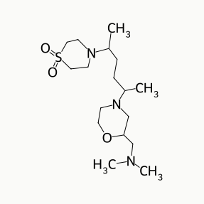 CC(CCC(C)N1CCOC(CN(C)C)C1)N1CCS(=O)(=O)CC1